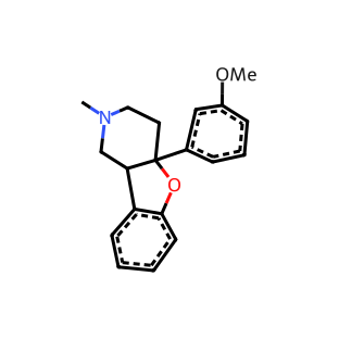 COc1cccc(C23CCN(C)CC2c2ccccc2O3)c1